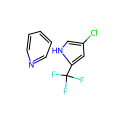 FC(F)(F)c1cc(Cl)c[nH]1.c1ccncc1